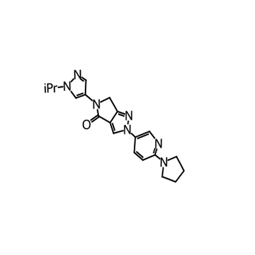 CC(C)n1cc(N2Cc3nn(-c4ccc(N5CCCC5)nc4)cc3C2=O)cn1